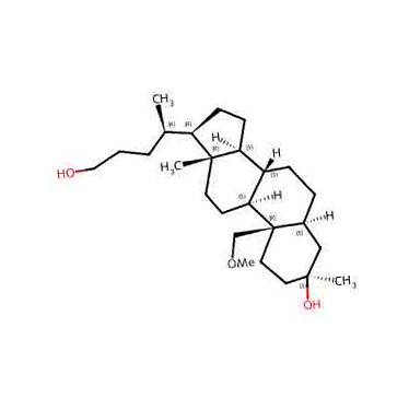 COC[C@]12CC[C@](C)(O)C[C@@H]1CC[C@H]1[C@@H]3CC[C@H]([C@H](C)CCCO)[C@@]3(C)CC[C@@H]12